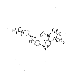 CN1CCC(NC(=O)c2ccc(Nc3ncc4c(n3)N(C3CCC3)CC(F)(F)C(=O)N4C)cc2)CC1